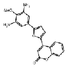 COc1c(N)cc(-c2ccc(-c3cc(=O)oc4ccccc34)o2)cc1N